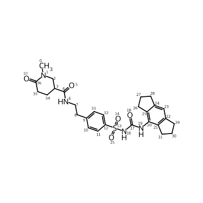 CN1CC(C(=O)NCCc2ccc(S(=O)(=O)NC(=O)Nc3c4c(cc5c3CCC5)CCC4)cc2)CCC1=O